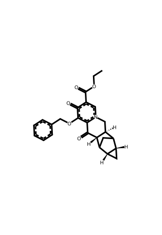 CCOC(=O)c1cn2c(c(OCc3ccccc3)c1=O)C(=O)[C@H]1C3CC([C@@H]4C[C@H]34)[C@@H]1C2